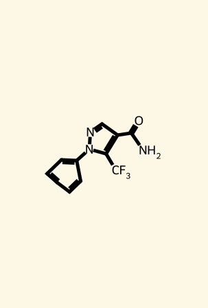 NC(=O)c1cnn(-c2ccccc2)c1C(F)(F)F